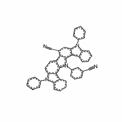 N#Cc1cccc(-n2c3c(ccc4c3c3ccccc3n4-c3ccccc3)c3c(C#N)cc4c(c5ccccc5n4-c4ccccc4)c32)c1